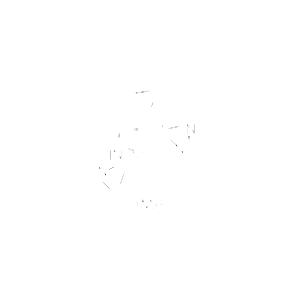 COCc1ccnc(NC(=O)[C@@H]2C[C@@]2(COc2cnc(C)nc2C)C2C=CC=CC2)c1